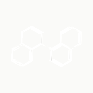 [C]1=CCc2ccccc2[C@H]1c1[c]ccc2ccccc12